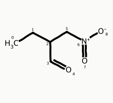 CCC(C=O)C[N+](=O)[O-]